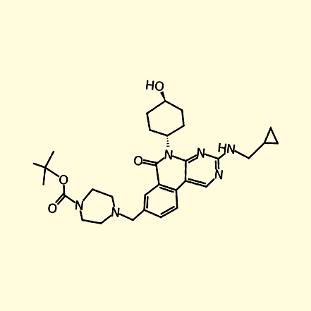 CC(C)(C)OC(=O)N1CCN(Cc2ccc3c(c2)c(=O)n([C@H]2CC[C@H](O)CC2)c2nc(NCC4CC4)ncc32)CC1